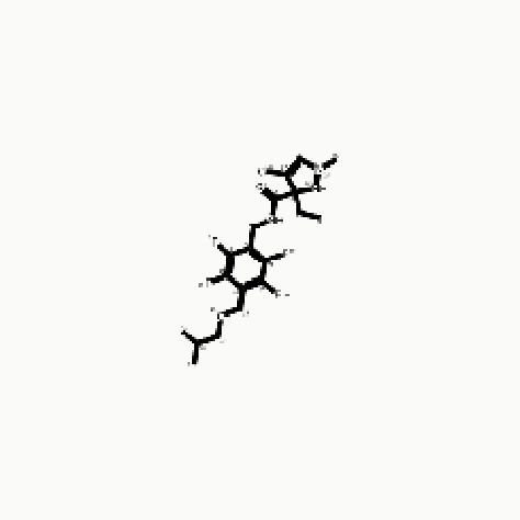 CCC1(C(=O)NCc2c(F)c(F)c(COCC(C)C)c(F)c2F)NN(C)C=C1Cl